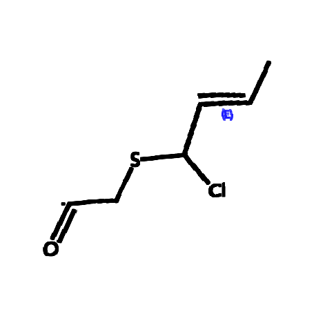 C/C=C/C(Cl)SC[C]=O